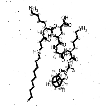 CCCCCCCCCCNCCC(=O)N[C@@H](CCCCN)C(=O)N[C@@H](CCC(=O)O)C(=O)N[C@@H](C)C(=O)N[C@@H](CCCCN)C(=O)N[C@@H](C)B1O[C@]2(C)C[C@@H]3C[C@@H](C3(C)C)[C@]2(C)O1